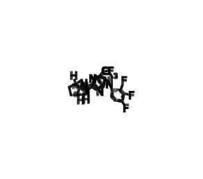 Fc1ccc(N2CCCn3nc(N[C@@H]4[C@@H]5CC[C@H]4CN(c4ccnc(C(F)(F)F)c4)C5)nc32)c(F)c1F